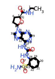 CCNC(=O)[C@@H]1CC[C@H](n2cnc3c(NC(=O)Nc4ccccc4S(N)(=O)=O)ncnc32)O1